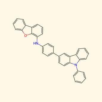 c1ccc(-n2c3ccccc3c3cc(-c4ccc(Nc5cccc6c5oc5ccccc56)cc4)ccc32)cc1